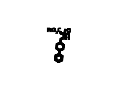 CCOC(=O)CC1(NCC2CCC(c3ccccc3)CC2)COC1